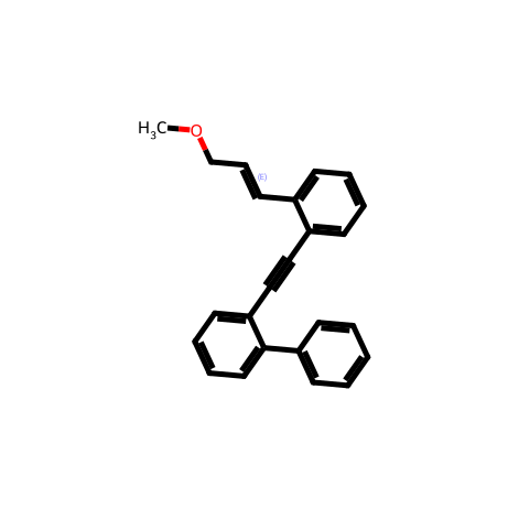 COC/C=C/c1ccccc1C#Cc1ccccc1-c1ccccc1